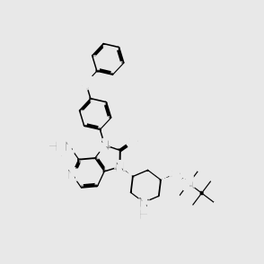 CC(C)(C)[Si](C)(C)O[C@H]1CNC[C@@H](n2c(=O)n(-c3ccc(Oc4ccccc4)cc3)c3c(N)nccc32)C1